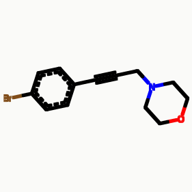 Brc1ccc(C#CCN2CCOCC2)cc1